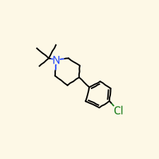 CC(C)(C)N1CCC(c2ccc(Cl)cc2)CC1